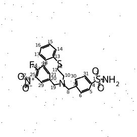 NS(=O)(=O)c1ccc(CN(CCSc2ccccc2)Cc2ccc(F)c([N+](=O)[O-])c2)cc1